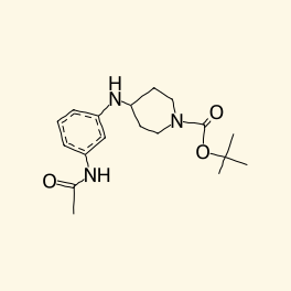 CC(=O)Nc1cccc(NC2CCN(C(=O)OC(C)(C)C)CC2)c1